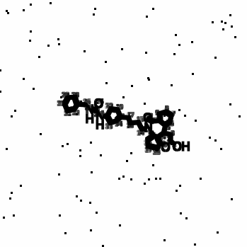 O=C(O)CC1c2ccccc2C(=O)N(CCCCc2ccc(NC(=O)NCc3ccccc3)cc2)c2ccccc21